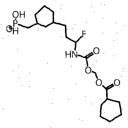 O=C(NC(F)CCC1CCCC(C[PH](=O)O)C1)OCOC(=O)C1CCCCC1